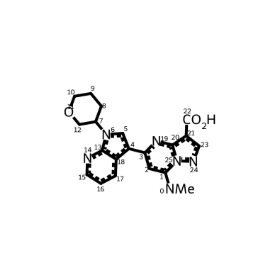 CNc1cc(-c2cn(C3CCCOC3)c3ncccc23)nc2c(C(=O)O)cnn12